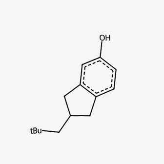 CC(C)(C)CC1Cc2ccc(O)cc2C1